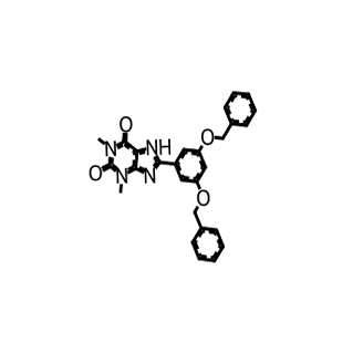 Cn1c(=O)c2[nH]c(-c3cc(OCc4ccccc4)cc(OCc4ccccc4)c3)nc2n(C)c1=O